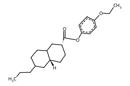 CCCC1CCC2C[C@H](C(=O)Oc3ccc(OCC)cc3)CC[C@@H]2C1